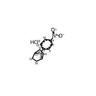 Cl.O=[N+]([O-])c1ccc(N2C3CCC2CC3)cc1